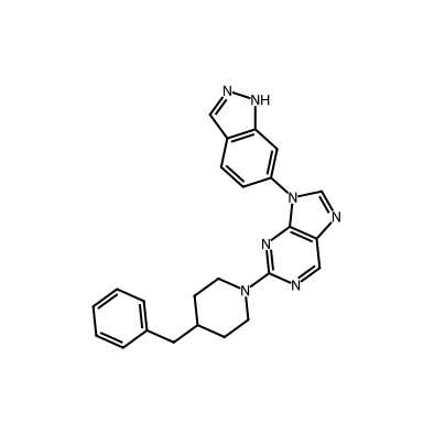 c1ccc(CC2CCN(c3ncc4ncn(-c5ccc6cn[nH]c6c5)c4n3)CC2)cc1